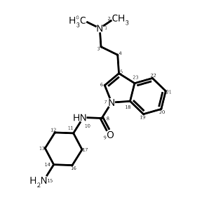 CN(C)CCc1cn(C(=O)NC2CCC(N)CC2)c2ccccc12